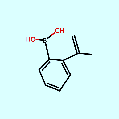 C=C(C)c1ccccc1B(O)O